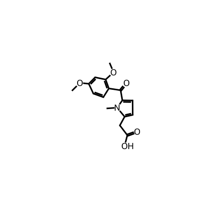 COc1ccc(C(=O)c2ccc(CC(=O)O)n2C)c(OC)c1